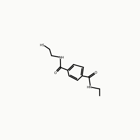 CCNC(=O)c1ccc(C(=O)NCCS)cc1